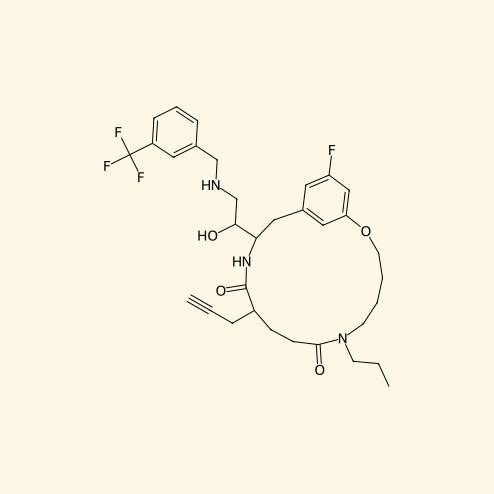 C#CCC1CCC(=O)N(CCC)CCCCOc2cc(F)cc(c2)CC(C(O)CNCc2cccc(C(F)(F)F)c2)NC1=O